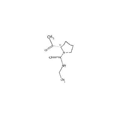 CCNC(=O)N1CCC[C@H]1C(C)=O